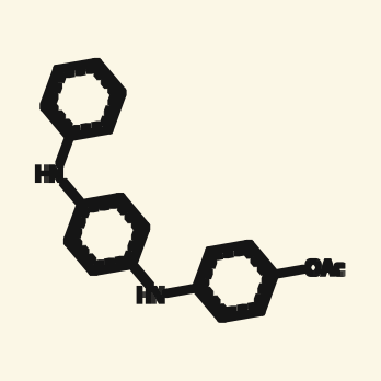 CC(=O)Oc1ccc(Nc2ccc(Nc3ccccc3)cc2)cc1